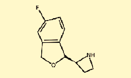 Fc1ccc2c(c1)COC2[C@@H]1CCN1